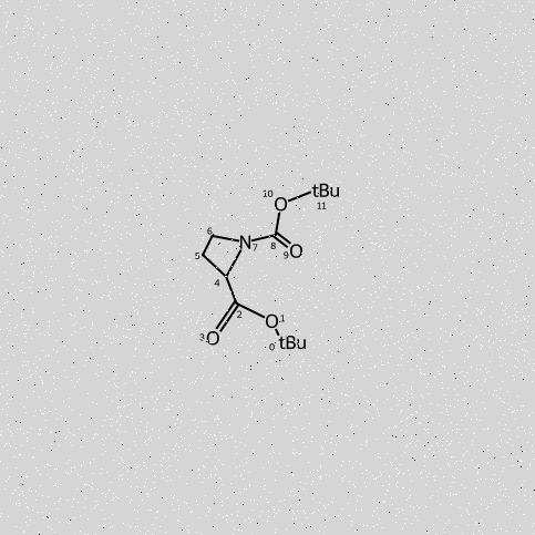 CC(C)(C)OC(=O)C1CCN1C(=O)OC(C)(C)C